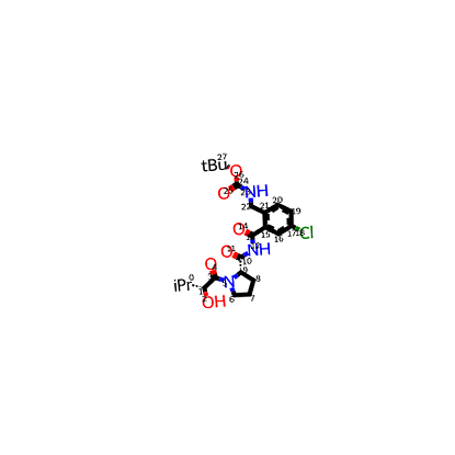 CC(C)[C@@H](O)C(=O)N1CCC[C@H]1C(=O)NC(=O)c1cc(Cl)ccc1CNC(=O)OC(C)(C)C